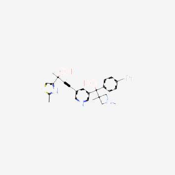 Cc1nc(C(C)(O)C#Cc2cncc(C(O)(c3ccc(C(C)C)cc3)C3(C)CN(C)C3)c2)cs1